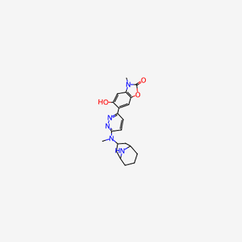 CN(c1ccc(-c2cc3oc(=O)n(C)c3cc2O)nn1)C1CC2CCCC(C1)N2